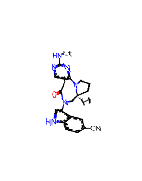 CCNc1ncc2c(n1)N1CCC[C@H]1CN(c1c[nH]c3ccc(C#N)cc13)C2=O